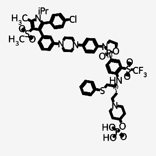 Cc1c(S(C)(=O)=O)c(-c2cccc(N3CCN(c4ccc(N5CCO[P@@]5(=O)c5ccc(N[C@H](CCN6CCC(OP(=O)(O)O)CC6)CSc6ccccc6)c(S(=O)(=O)C(F)(F)F)c5)cc4)CC3)c2)c(-c2ccc(Cl)cc2)n1C(C)C